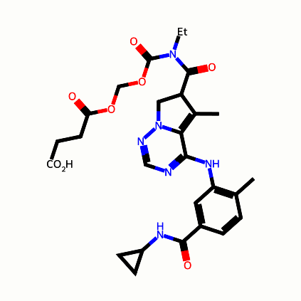 CCN(C(=O)OCOC(=O)CCC(=O)O)C(=O)C1CN2N=CN=C(Nc3cc(C(=O)NC4CC4)ccc3C)C2=C1C